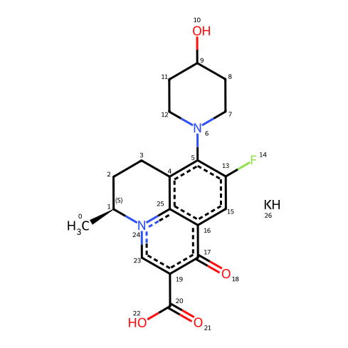 C[C@H]1CCc2c(N3CCC(O)CC3)c(F)cc3c(=O)c(C(=O)O)cn1c23.[KH]